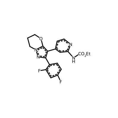 CCOC(=O)Nc1cc(-c2c(-c3ccc(F)cc3F)nn3c2OCCC3)ccn1